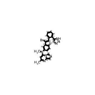 Cc1cc(N(C)c2ccc3oc(-c4ccccc4-c4nnn[nH]4)c(Br)c3c2)n2cncc2n1